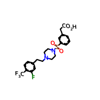 O=C(O)Cc1cccc(S(=O)(=O)N2CCN(CCc3ccc(C(F)(F)F)c(F)c3)CC2)c1